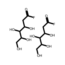 O=C(F)CC(O)C(O)C(O)CO.O=C(F)CC(O)C(O)C(O)CO